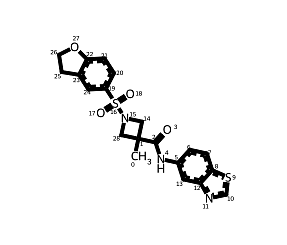 CC1(C(=O)Nc2ccc3scnc3c2)CN(S(=O)(=O)c2ccc3c(c2)CCO3)C1